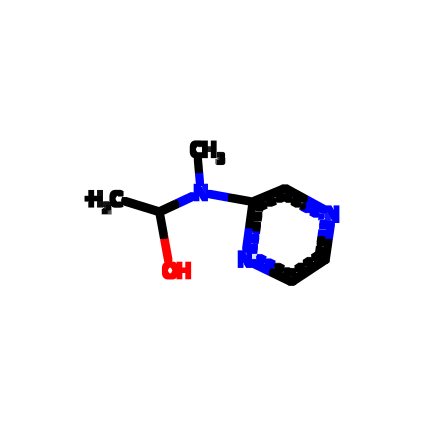 [CH2]C(O)N(C)c1cnccn1